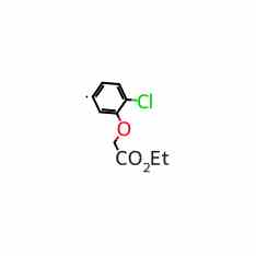 CCOC(=O)COc1c[c]ccc1Cl